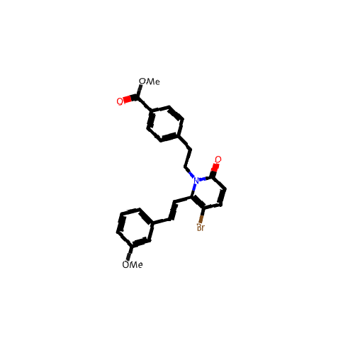 COC(=O)c1ccc(CCn2c(C=Cc3cccc(OC)c3)c(Br)ccc2=O)cc1